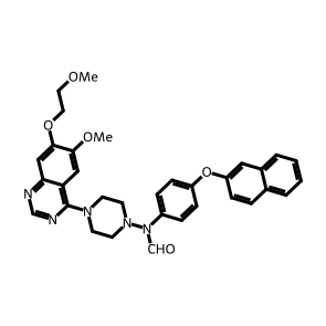 COCCOc1cc2ncnc(N3CCN(N(C=O)c4ccc(Oc5ccc6ccccc6c5)cc4)CC3)c2cc1OC